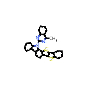 Cc1nc(-n2c3ccccc3c3ccc4c5sc6ccccc6c5sc4c32)nc2ccccc12